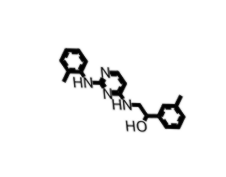 Cc1cccc(C(O)CNc2ccnc(Nc3ccccc3C)n2)c1